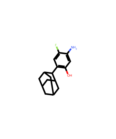 Nc1cc(O)c(C2C3CC4CC(C3)CC2C4)cc1F